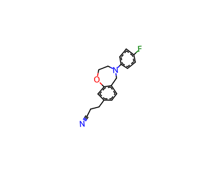 N#CCCc1ccc2c(c1)OCCN(c1ccc(F)cc1)C2